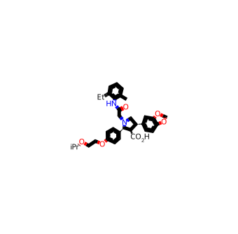 CCc1cccc(C)c1NC(=O)CN1C[C@H](c2ccc3c(c2)OCO3)[C@@H](C(=O)O)[C@@H]1c1ccc(OCCOC(C)C)cc1